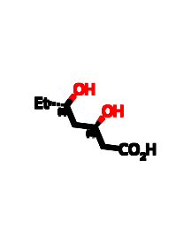 CC[C@H](O)C[C@@H](O)CC(=O)O